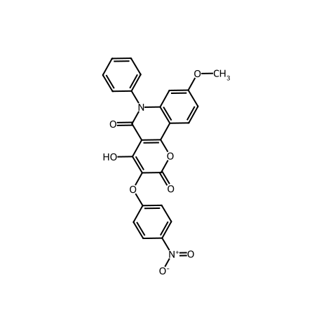 COc1ccc2c3oc(=O)c(Oc4ccc([N+](=O)[O-])cc4)c(O)c3c(=O)n(-c3ccccc3)c2c1